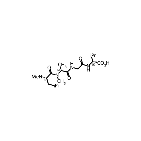 CN[C@@H](CC(C)C)C(=O)N(C)[C@@H](C)C(=O)NCC(=O)N[C@H](C(=O)O)C(C)C